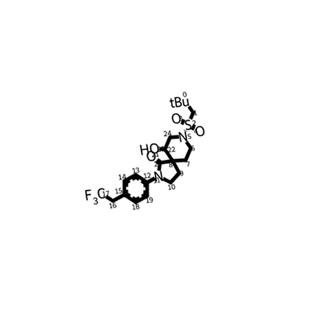 CC(C)(C)CS(=O)(=O)N1CCC2(CCN(c3ccc(CC(F)(F)F)cc3)C2=O)C(O)C1